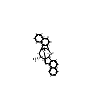 [Cl-].[Cl-].c1ccc2c3c(ccc2c1)[CH]1[Zr+2][CH]2C4=C(CCC1=C3CC4)c1c2ccc2ccccc12